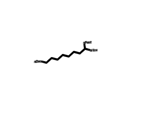 [CH2]CCCCCC(CCCCC)CCCCCCCCCCCCCCCCC